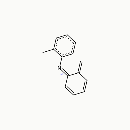 C=C1C=CC=C/C1=N/c1ccccc1C